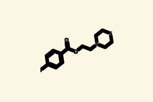 O=C(OCCN1CCSCC1)c1ccc(I)cc1